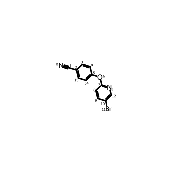 N#Cc1ccc(Oc2ccc(Br)cn2)cc1